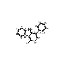 CC1=C2C(=Nc3ccccc32)C(c2ccccc2)=CC1